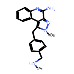 CCCCn1nc2c(N)nc3ccccc3c2c1Cc1ccc(CNC(C)C)cc1